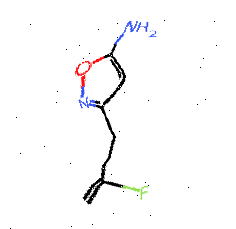 C=C(F)CCc1cc(N)on1